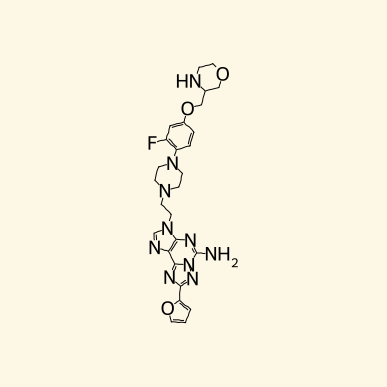 Nc1nc2c(ncn2CCN2CCN(c3ccc(OCC4COCCN4)cc3F)CC2)c2nc(-c3ccco3)nn12